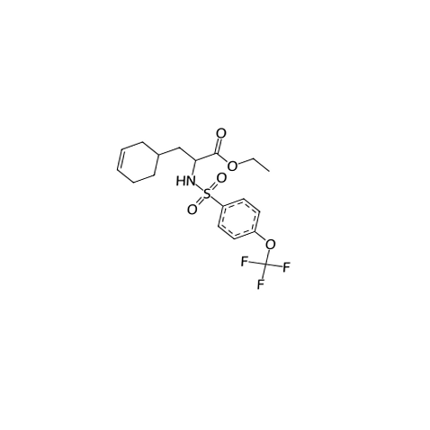 CCOC(=O)C(CC1CC=CCC1)NS(=O)(=O)c1ccc(OC(F)(F)F)cc1